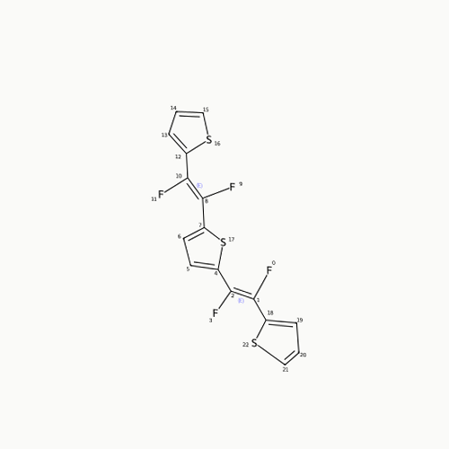 F/C(=C(/F)c1ccc(/C(F)=C(\F)c2cccs2)s1)c1cccs1